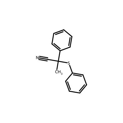 CC(C#N)(Sc1ccccc1)c1ccccc1